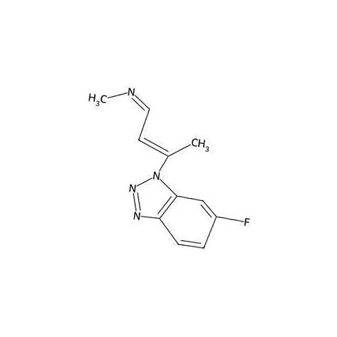 C/N=C\C=C(/C)n1nnc2ccc(F)cc21